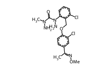 CON=C(C)c1ccc(OCc2c(Cl)cccc2N(N)C(=O)N(C)N)c(Cl)c1